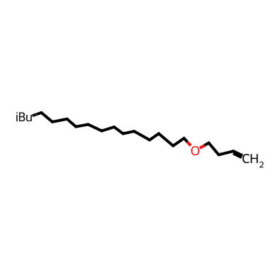 C=CCCOCCCCCCCCCCCCCC(C)CC